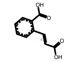 O=C(O)/C=C/c1ccccc1C(=O)O